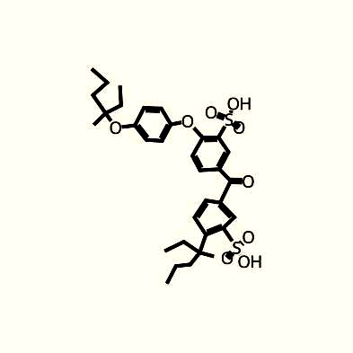 CCCC(C)(CC)Oc1ccc(Oc2ccc(C(=O)c3ccc(C(C)(CC)CCC)c(S(=O)(=O)O)c3)cc2S(=O)(=O)O)cc1